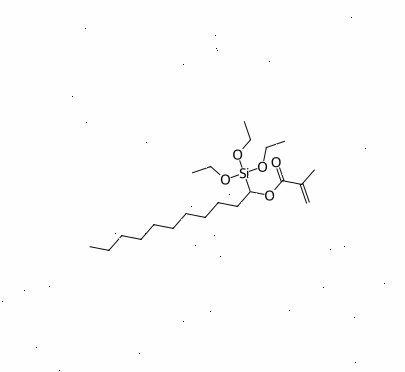 C=C(C)C(=O)OC(CCCCCCCCCC)[Si](OCC)(OCC)OCC